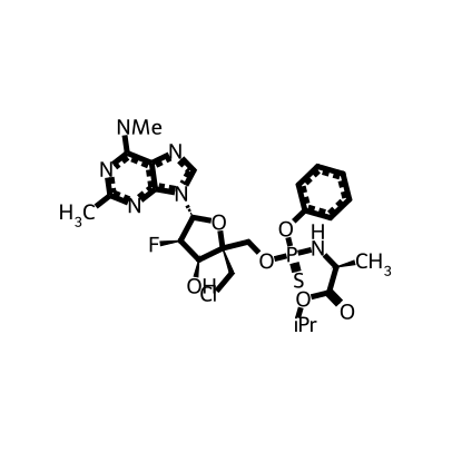 CNc1nc(C)nc2c1ncn2[C@@H]1O[C@](CCl)(COP(=S)(N[C@@H](C)C(=O)OC(C)C)Oc2ccccc2)[C@@H](O)[C@H]1F